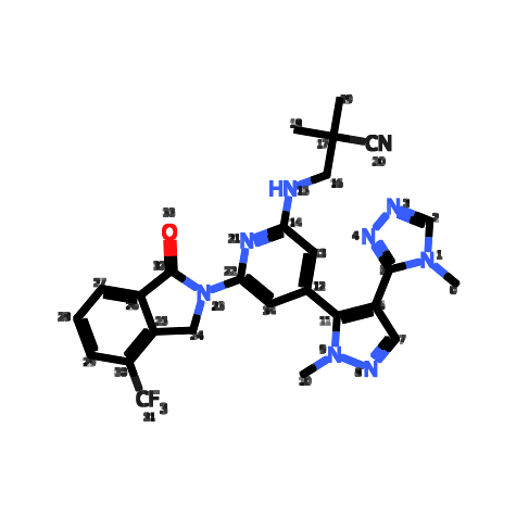 Cn1cnnc1-c1cnn(C)c1-c1cc(NCC(C)(C)C#N)nc(N2Cc3c(cccc3C(F)(F)F)C2=O)c1